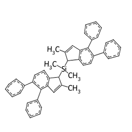 CC1=Cc2c(ccc(-c3ccccc3)c2-c2ccccc2)C1[Si](C)(C)C1C(C)=Cc2c1ccc(-c1ccccc1)c2-c1ccccc1